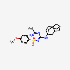 CS/C(N)=N/C(=N\S(=O)(=O)c1ccc(OC(F)(F)F)cc1)NC12CC3CC4CC(C1)C3C4C2